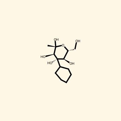 C[C@@]1(O)O[C@H](CO)[C@@H](O)[C@@](O)(C2CCCCC2)[C@H]1O